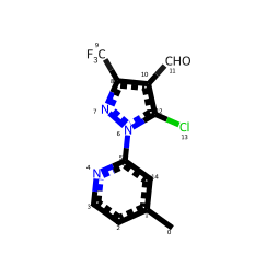 Cc1ccnc(-n2nc(C(F)(F)F)c(C=O)c2Cl)c1